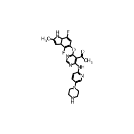 CC(=O)c1c(Nc2ccc(N3CCNCC3)cn2)ncnc1OC1=C(F)C2C=C(C)NC2C(F)=C1